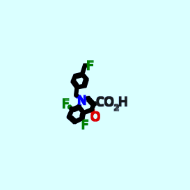 O=C(O)c1cn(Cc2ccc(CF)cc2)c2c(F)ccc(F)c2c1=O